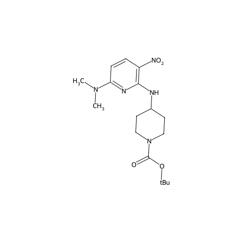 CN(C)c1ccc([N+](=O)[O-])c(NC2CCN(C(=O)OC(C)(C)C)CC2)n1